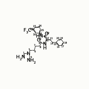 NCN(CN)CCCCC(=O)N[C@H](CCc1ccccc1)C(=O)Nc1cccc(C(F)(F)F)c1